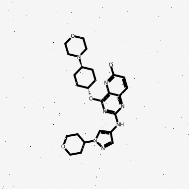 Clc1ccc2nc(Nc3cnn(C4CCOCC4)c3)nc(O[C@H]3CC[C@H](N4CCOCC4)CC3)c2n1